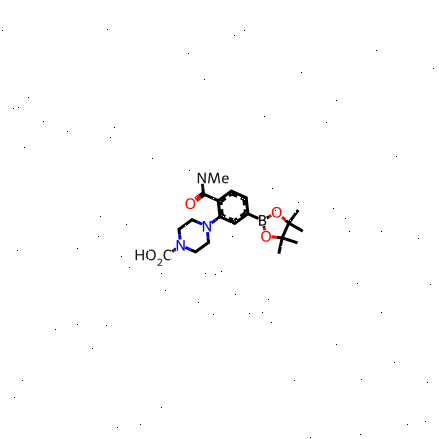 CNC(=O)c1ccc(B2OC(C)(C)C(C)(C)O2)cc1N1CCN(C(=O)O)CC1